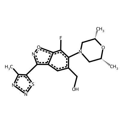 Cc1nnsc1-c1noc2c(F)c(N3C[C@@H](C)O[C@@H](C)C3)c(CO)cc12